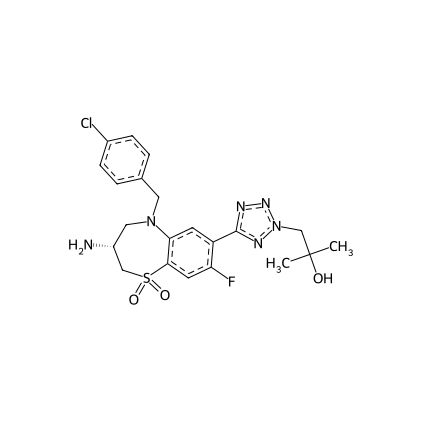 CC(C)(O)Cn1nnc(-c2cc3c(cc2F)S(=O)(=O)C[C@H](N)CN3Cc2ccc(Cl)cc2)n1